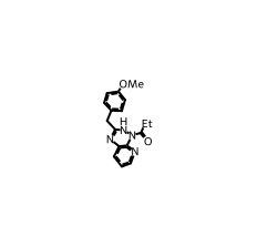 CCC(=O)N1NC(Cc2ccc(OC)cc2)=Nc2cccnc21